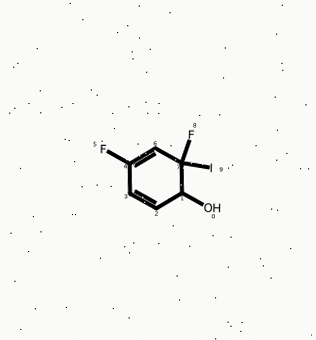 OC1C=CC(F)=CC1(F)I